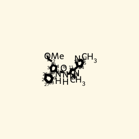 COCC[C@@H]1C[C@@H](NC(=O)Nc2cc(-c3ccc(C)nc3)nn2C)[C@H](c2ccccc2)C1